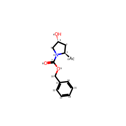 CC(=O)[C@@H]1C[C@@H](O)CN1C(=O)OCc1ccccc1